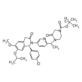 COc1cc2c(cc1OC(C)C)[C@H](c1ccc(Cl)cc1)N(c1ccc([C@H](C)N3CCN(C(=O)OC(C)(C)C)CC3=O)nc1)C(=O)C2